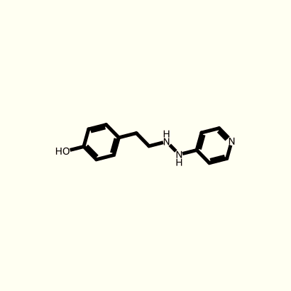 Oc1ccc(CCNNc2ccncc2)cc1